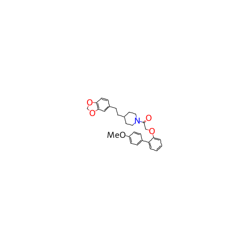 COc1ccc(-c2ccccc2OCC(=O)N2CCC(CCc3ccc4c(c3)OCO4)CC2)cc1